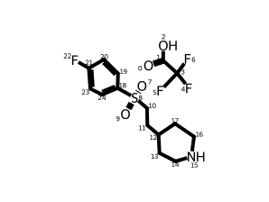 O=C(O)C(F)(F)F.O=S(=O)(CCC1CCNCC1)c1ccc(F)cc1